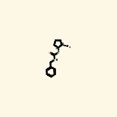 N[C@@H]1CCC[C@H]1OC(=O)NCc1ccccc1